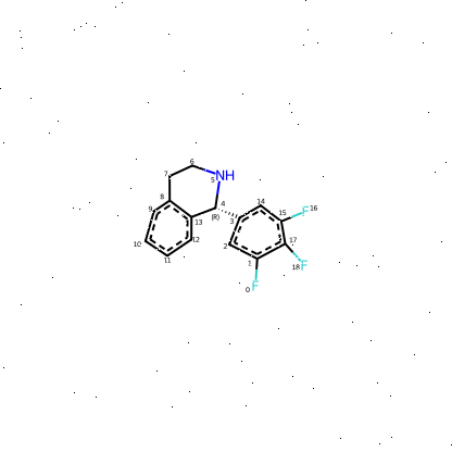 Fc1cc([C@H]2NCCc3ccccc32)cc(F)c1F